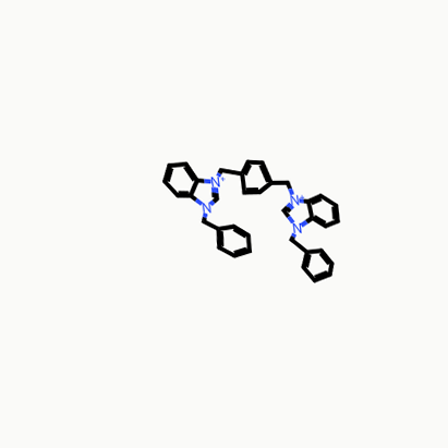 c1ccc(Cn2c[n+](Cc3ccc(C[n+]4cn(Cc5ccccc5)c5ccccc54)cc3)c3ccccc32)cc1